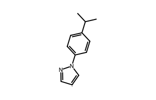 CC(C)c1ccc(-n2c[c]cn2)cc1